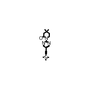 CC1(C)CCN(c2ncc(C#C[Si](C)(C)C)cn2)C(=O)C1